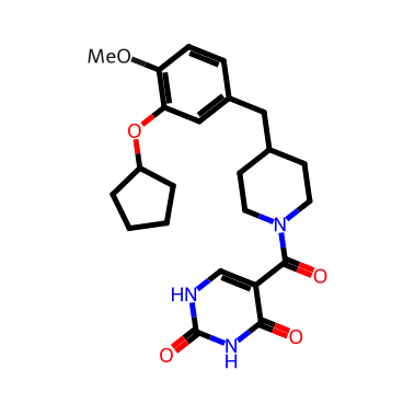 COc1ccc(CC2CCN(C(=O)c3c[nH]c(=O)[nH]c3=O)CC2)cc1OC1CCCC1